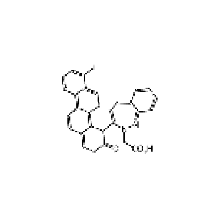 O=C(O)CN1N=c2ccccc2=CC=C1C1C(=O)CC=c2ccc3c(c21)CC=c1c(I)cccc1=3